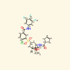 C[C@H]1CC2C[C@@H](S(=O)(=O)c3cc(C(=O)Nc4cc(F)c(F)c(F)c4)ccc3Cl)C[C@H]1[C@@]2(O)CNC(=O)C1CC=CC1